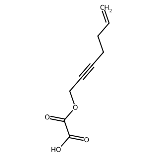 C=CCCC#CCOC(=O)C(=O)O